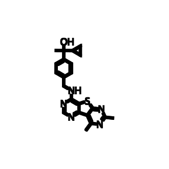 Cc1nc(C)c2c(n1)sc1c(NCc3ccc(C(C)(O)C4CC4)cc3)ncnc12